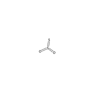 O=S(=O)=S